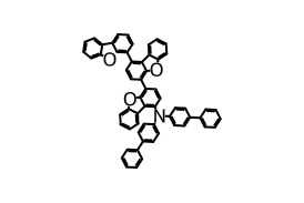 c1ccc(-c2ccc(N(c3ccc(-c4ccccc4)cc3)c3ccc(-c4ccc(-c5cccc6c5oc5ccccc56)c5c4oc4ccccc45)c4oc5ccccc5c34)cc2)cc1